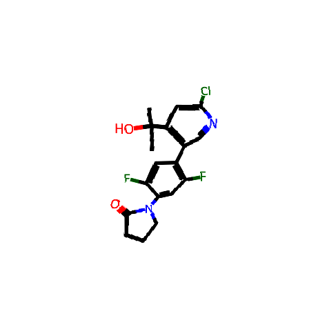 CC(C)(O)c1cc(Cl)ncc1-c1cc(F)c(N2CCCC2=O)cc1F